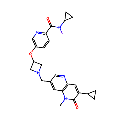 Cn1c(=O)c(C2CC2)cc2ncc(CN3CC(Oc4ccc(C(=O)N(I)C5CC5)nc4)C3)cc21